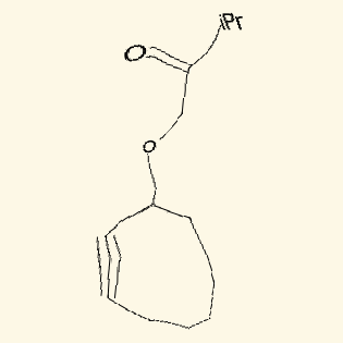 CC(C)C(=O)COC1C#CCCCC1